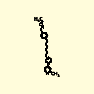 CCO/N=C/c1ccc(CCCCCCN2CCN(c3ccnc(C)c3)S2)cc1